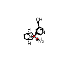 C#Cc1cncc([C@@]2(C#N)C[C@H]3C=C[C@@H](C2)N3C(C)C#C)c1